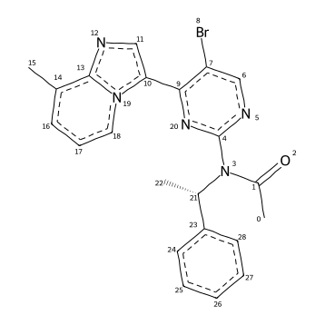 CC(=O)N(c1ncc(Br)c(-c2cnc3c(C)cccn23)n1)[C@@H](C)c1ccccc1